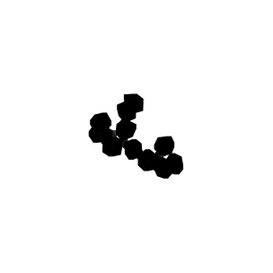 c1ccc(-n2c3cc(-c4ccc(N(c5ccc(-c6ccc7ccccc7c6)cc5)c5cccc6c5sc5c7ccccc7ccc65)cc4)ccc3c3ccc4ccccc4c32)cc1